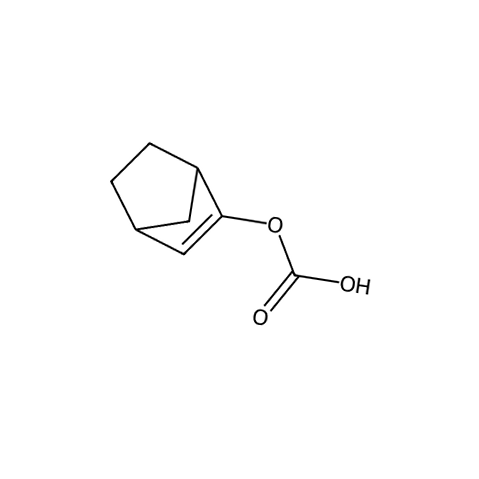 O=C(O)OC1=CC2CCC1C2